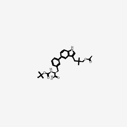 CC(=O)OCC(C)(C)Cc1c[nH]c2ccc(-c3cccc(C[C@H](NC(=O)OC(C)(C)C)C(=O)O)c3)cc12